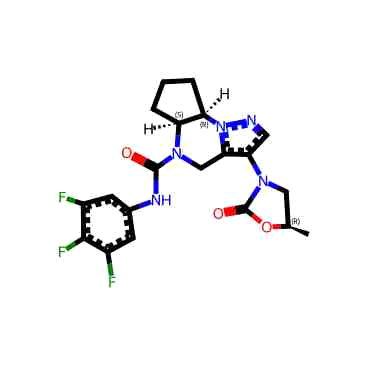 C[C@@H]1CN(c2cnn3c2CN(C(=O)Nc2cc(F)c(F)c(F)c2)[C@H]2CCC[C@H]23)C(=O)O1